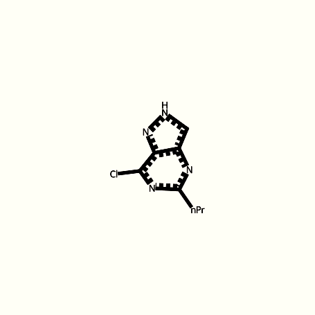 CCCc1nc(Cl)c2n[nH]cc2n1